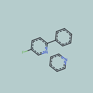 Fc1ccc(-c2ccccc2)nc1.c1ccncc1